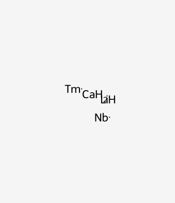 [CaH2].[LiH].[Nb].[Tm]